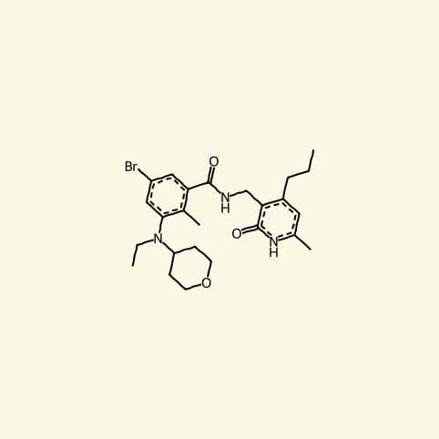 CCCc1cc(C)[nH]c(=O)c1CNC(=O)c1cc(Br)cc(N(CC)C2CCOCC2)c1C